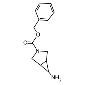 NC1C2CN(C(=O)OCc3ccccc3)CC12